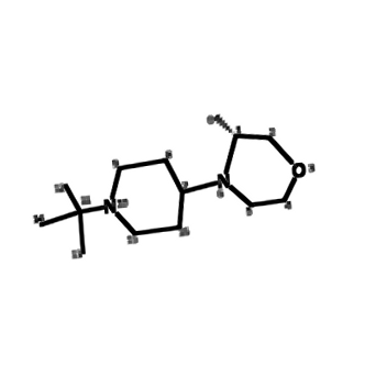 C[C@@H]1COCCN1C1CCN(C(C)(C)C)CC1